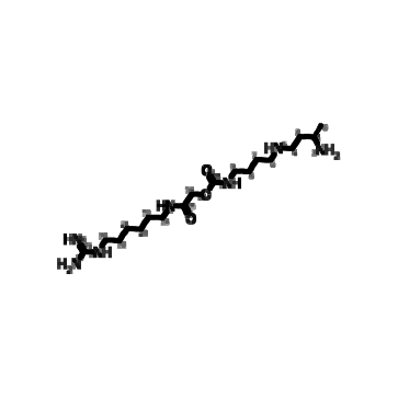 C[C@@H](N)CCNCCCCNC(=O)OCC(=O)NCCCCCCNC(=N)N